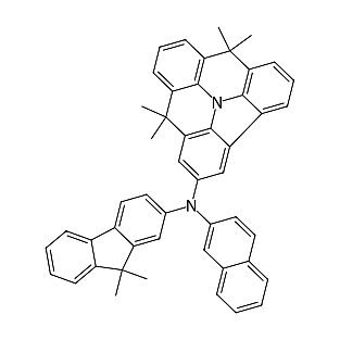 CC1(C)c2ccccc2-c2ccc(N(c3ccc4ccccc4c3)c3cc4c5c(c3)c3cccc6c3n5-c3c(cccc3C4(C)C)C6(C)C)cc21